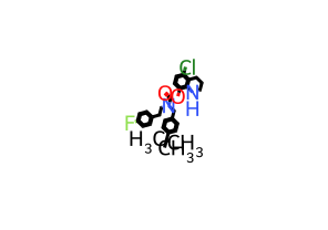 CC(C)(C)c1ccc(CN(CCc2ccc(F)cc2)C(=O)Oc2ccc(Cl)c3c2NCCC3)cc1